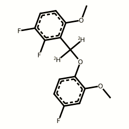 [2H]C([2H])(Oc1ccc(F)cc1OC)c1c(OC)ccc(F)c1F